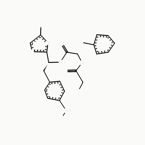 CCc1csc([C@H](Cc2ccc(NS(=O)(=O)O)cc2)NC(=O)[C@H](Cc2ccccc2)NC(=O)CC(C)=O)n1